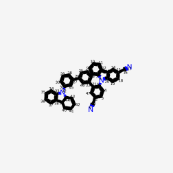 N#Cc1ccc(-n2c3ccccc3c3cc(C#N)ccc32)c(-c2cccc(-c3cccc(N4c5ccccc5C5C=CC=CC54)c3)c2)c1